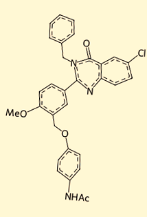 COc1ccc(-c2nc3ccc(Cl)cc3c(=O)n2Cc2ccccc2)cc1COc1ccc(NC(C)=O)cc1